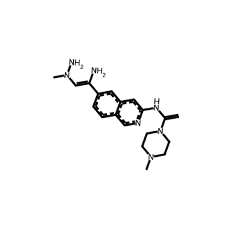 C=C(Nc1cc2cc(/C(N)=C/N(C)N)ccc2cn1)N1CCN(C)CC1